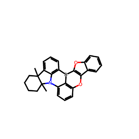 CC12CCCCC1(C)N1c3cccc4c3B(c3cccc2c31)c1oc2ccccc2c1O4